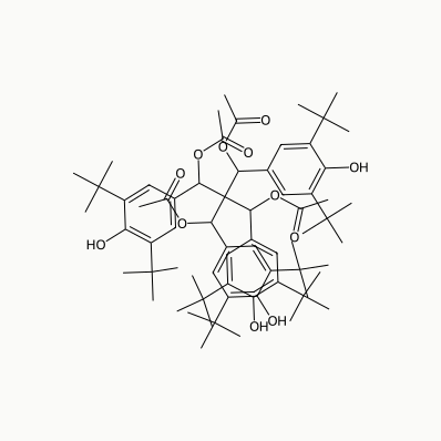 CC(=O)OC(c1cc(C(C)(C)C)c(O)c(C(C)(C)C)c1)C(C(OC(C)=O)c1cc(C(C)(C)C)c(O)c(C(C)(C)C)c1)(C(OC(C)=O)c1cc(C(C)(C)C)c(O)c(C(C)(C)C)c1)C(OC(C)=O)c1cc(C(C)(C)C)c(O)c(C(C)(C)C)c1